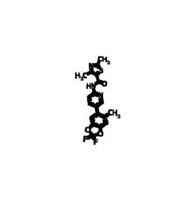 Cc1nc(C)c(C(=O)Nc2ccc(-c3cc4c(cc3C)OC(F)(F)O4)cn2)s1